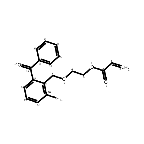 C=CC(=O)OCCOCc1c(F)cccc1C(=O)c1ccccc1